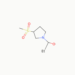 CCC([O])N1CCC(S(C)(=O)=O)C1